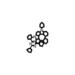 c1ccc(-c2nc(-c3ccccc3)nc(-c3ccccc3-n3c4cccc5c6ccccc6c6cccc7c6c6c(c54)c3ccc6n7-c3ccccc3)n2)cc1